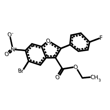 CCOC(=O)c1c(-c2ccc(F)cc2)oc2cc([N+](=O)[O-])c(Br)cc12